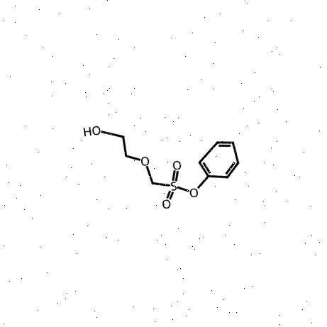 O=S(=O)(COCCO)Oc1ccccc1